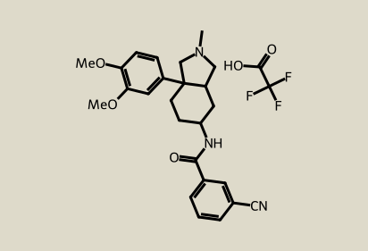 COc1ccc(C23CCC(NC(=O)c4cccc(C#N)c4)CC2CN(C)C3)cc1OC.O=C(O)C(F)(F)F